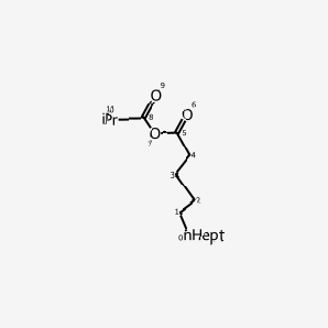 CCCCCCCCCCCC(=O)OC(=O)C(C)C